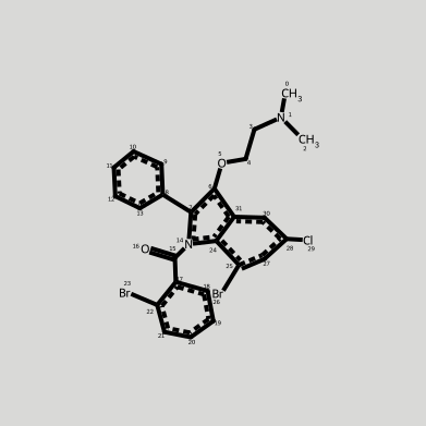 CN(C)CCOc1c(-c2ccccc2)n(C(=O)c2ccccc2Br)c2c(Br)cc(Cl)cc12